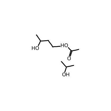 CC(=O)O.CC(C)O.CCCC(C)O